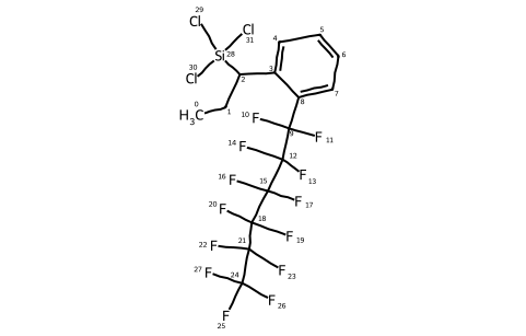 CCC(c1ccccc1C(F)(F)C(F)(F)C(F)(F)C(F)(F)C(F)(F)C(F)(F)F)[Si](Cl)(Cl)Cl